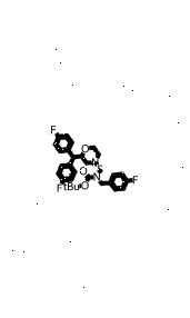 CC(C)(C)OC(=O)N(Cc1ccc(F)cc1)SN1CCOC(C(c2ccc(F)cc2)c2ccc(F)cc2)C1